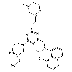 CN1CCO[C@@H](COc2nc3c(c(N4CCN[C@@H](CC#N)C4)n2)CCN(c2cccc4cccc(Cl)c24)C3)C1